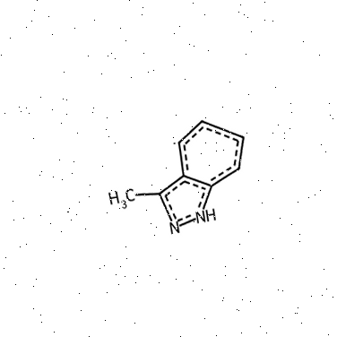 Cc1n[nH]c2ccc[c]c12